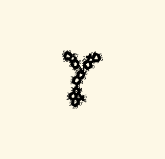 CC1(C)c2ccccc2-c2ccc(N(c3ccc4cc(-c5cc6c7c(ccc8cccc(c87)C6(C)C)c5)ccc4c3)c3ccc4c(c3)sc3ccccc34)cc21